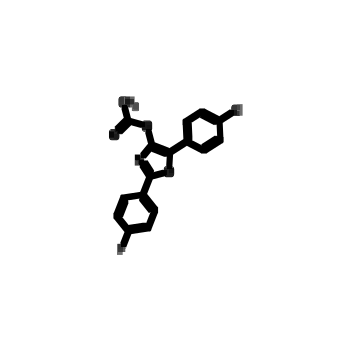 CC(=O)Oc1nc(-c2ccc(F)cc2)oc1-c1ccc(Cl)cc1